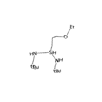 CCOC[SiH](NC(C)(C)C)NC(C)(C)C